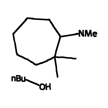 CCCCO.CNC1CCCCCC1(C)C